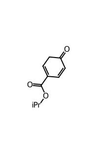 CC(C)OC(=O)C1=CCC(=O)C=C1